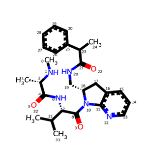 CN[C@@H](C)C(=O)N[C@H](C(=O)N1c2ncccc2C[C@H]1CNC(=O)C(C)c1ccccc1)C(C)C